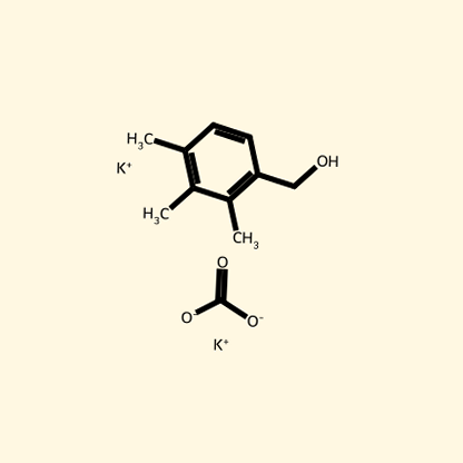 Cc1ccc(CO)c(C)c1C.O=C([O-])[O-].[K+].[K+]